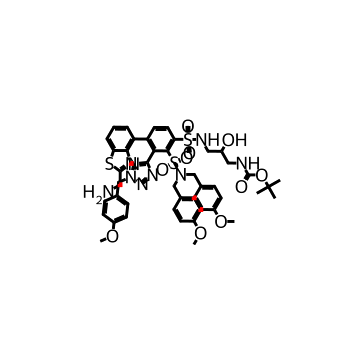 COc1ccc(CN(Cc2ccc(OC)cc2)S(=O)(=O)c2c(S(=O)(=O)NCC(O)CNC(=O)OC(C)(C)C)ccc(-c3cccc4sc(CN)nc34)c2-c2nnn(Cc3ccc(OC)cc3)n2)cc1